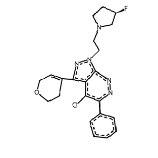 F[C@@H]1CCN(CCn2nc(C3=CCOCC3)c3c(Cl)c(-c4ccccc4)nnc32)C1